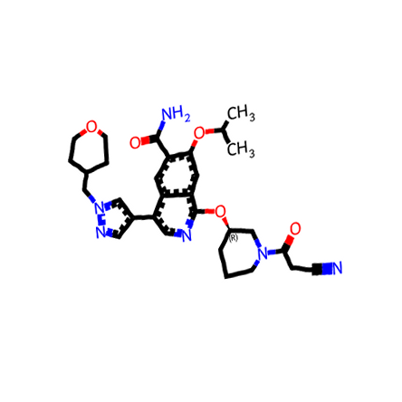 CC(C)Oc1cc2c(O[C@@H]3CCCN(C(=O)CC#N)C3)ncc(-c3cnn(CC4CCOCC4)c3)c2cc1C(N)=O